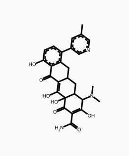 Cc1cncc(-c2ccc(O)c3c2CC2CC4C(N(C)C)C(O)=C(C(N)=O)C(=O)C4(O)C(O)=C2C3=O)c1